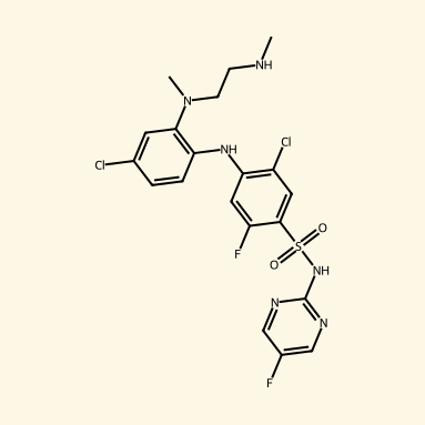 CNCCN(C)c1cc(Cl)ccc1Nc1cc(F)c(S(=O)(=O)Nc2ncc(F)cn2)cc1Cl